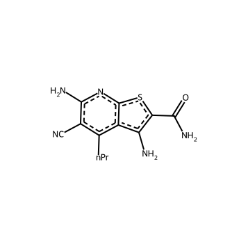 CCCc1c(C#N)c(N)nc2sc(C(N)=O)c(N)c12